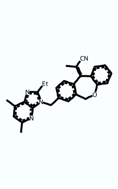 CCc1nc2c(C)cc(C)nc2n1Cc1ccc2c(c1)COc1ccccc1/C2=C(/C)C#N